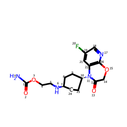 NC(=O)OCCN[C@H]1CC[C@H](N2C(=O)COc3ncc(F)cc32)CC1